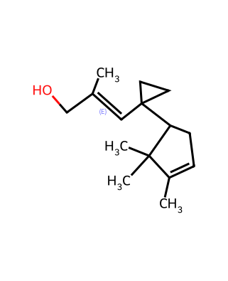 CC1=CCC(C2(/C=C(\C)CO)CC2)C1(C)C